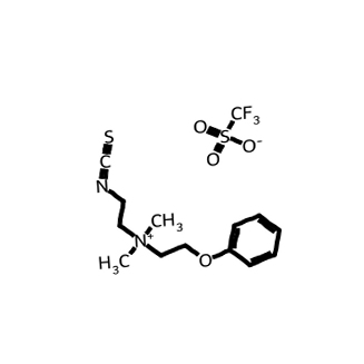 C[N+](C)(CCN=C=S)CCOc1ccccc1.O=S(=O)([O-])C(F)(F)F